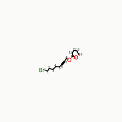 BrCCCCCC#CCOC1CCCCO1